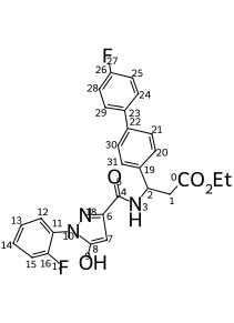 CCOC(=O)CC(NC(=O)c1cc(O)n(-c2ccccc2F)n1)c1ccc(-c2ccc(F)cc2)cc1